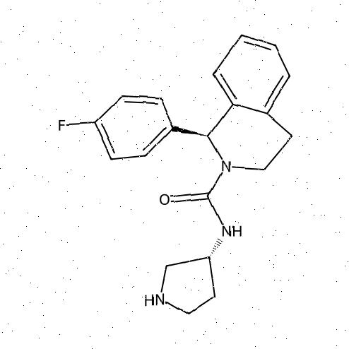 O=C(N[C@@H]1CCNC1)N1CCc2ccccc2[C@@H]1c1ccc(F)cc1